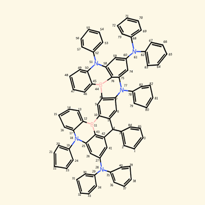 c1ccc(C2c3cc4c(cc3B3c5ccccc5N(c5ccccc5)c5cc(N(c6ccccc6)c6ccccc6)cc2c53)B2c3ccccc3N(c3ccccc3)c3cc(N(c5ccccc5)c5ccccc5)cc(c32)N4c2ccccc2)cc1